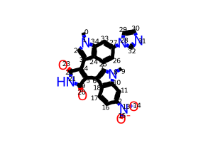 Cn1cc(C2=C(c3cn(C)c4cc([N+](=O)[O-])ccc34)C(=O)NC2=O)c2ccc(-n3ccnc3)cc21